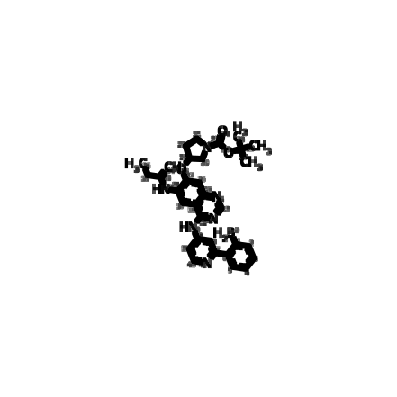 Bc1ccccc1-c1cc(Nc2ncnc3cc(OC4CCN(C(=O)OC(C)(C)C)C4)c(NC(=C)CC)cc23)ccn1